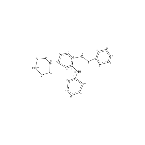 c1ccc(COc2ccc(N3CCNCC3)cc2Nc2ccccc2)cc1